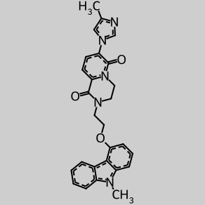 Cc1cn(-c2ccc3n(c2=O)CCN(CCOc2cccc4c2c2ccccc2n4C)C3=O)cn1